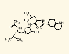 CC(=O)N[C@@H](CC(C)C)CN1CC(O)C(NC(=O)[C@H](CC(C)C)NC(=O)c2ccc3c(c2)CCCN3)C1